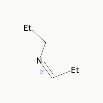 CC/C=N\CCC